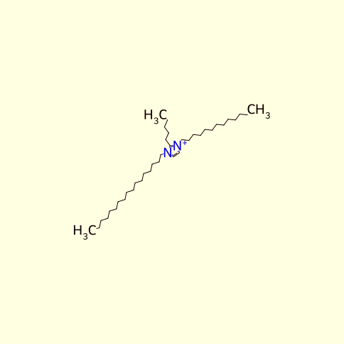 CCCCCCCCCCCCCCCCCn1cc[n+](CCCCCCCCCCCCC)c1CCCCC